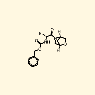 CC[C@H](NC(=O)OCc1ccccc1)C(=O)N1C[C@@H]2C[C@H]1CO2